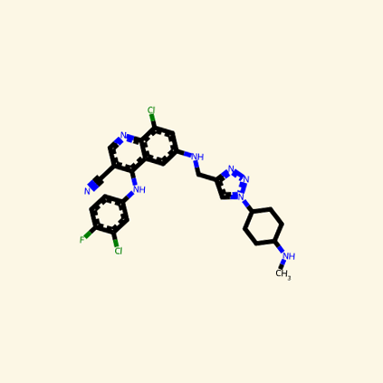 CNC1CCC(n2cc(CNc3cc(Cl)c4ncc(C#N)c(Nc5ccc(F)c(Cl)c5)c4c3)nn2)CC1